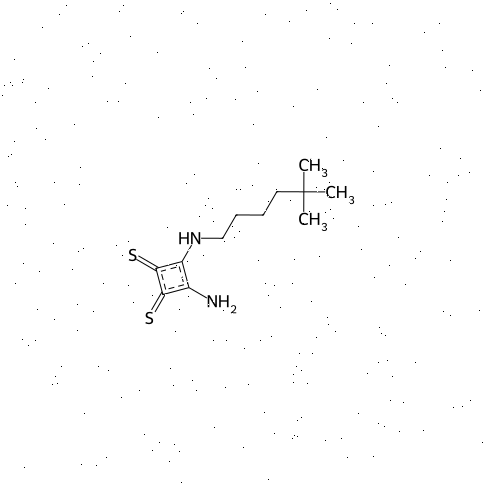 CC(C)(C)CCCCNc1c(N)c(=S)c1=S